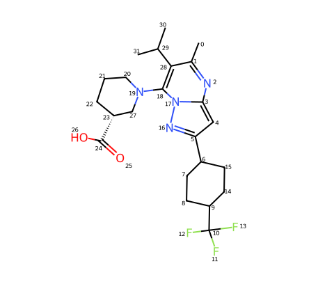 Cc1nc2cc(C3CCC(C(F)(F)F)CC3)nn2c(N2CCC[C@@H](C(=O)O)C2)c1C(C)C